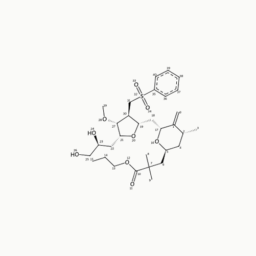 C=C1[C@H](C)C[C@@H](CC(C)(C)C(=O)OCCC)O[C@@H]1C[C@@H]1O[C@H](C[C@H](O)CO)[C@H](OC)[C@H]1CS(=O)(=O)c1ccccc1